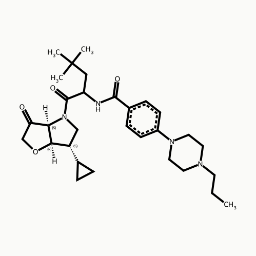 CCCN1CCN(c2ccc(C(=O)NC(CC(C)(C)C)C(=O)N3C[C@H](C4CC4)[C@H]4OCC(=O)[C@H]43)cc2)CC1